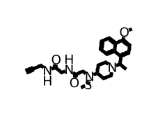 C#CCNC(=O)CNC(=O)CN(SC)C1CCN(C(C)c2ccc(OC)c3ccccc23)CC1